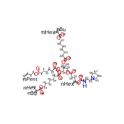 CCCCC/C=C\CCOC(=O)CCCCCC(=O)OCC(COC(=O)CCCCCCOC(=O)C(CCCC)CCCCCC)(COC(=O)CCCCCCOC(=O)C(CCCC)CCCCCC)COC(=O)CCC(CCCCCC)OC(=O)NCCN1CCCC1